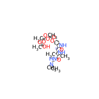 CCN(CC)CCNC(=O)c1c(C)[nH]c(/C=C2\C(=O)Nc3ccc(OC(=O)[C@H](C)OC(=O)[C@H](C)OC(=O)[C@H](C)O)cc32)c1C